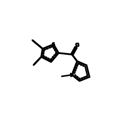 Cc1cc(C(=O)c2cccn2C)sc1C